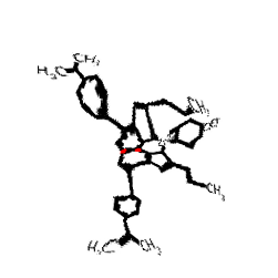 CCCC1=Cc2c(-c3ccc(C(C)C)cc3)cccc2[CH]1[Zr+2]1([CH]2C(CCC)=Cc3c(-c4ccc(C(C)C)cc4)cccc32)[CH]2CCCC[CH]21.[Cl-].[Cl-]